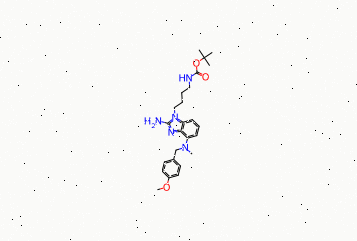 COc1ccc(CN(C)c2cccc3c2nc(N)n3CCCCNC(=O)OC(C)(C)C)cc1